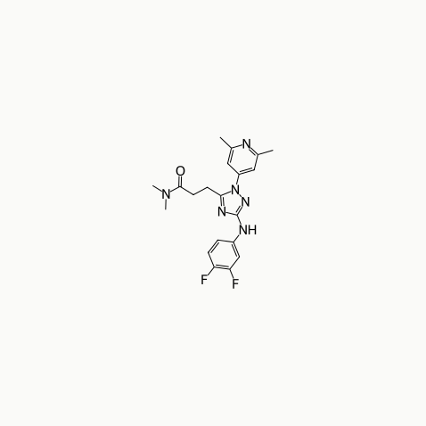 Cc1cc(-n2nc(Nc3ccc(F)c(F)c3)nc2CCC(=O)N(C)C)cc(C)n1